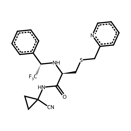 N#CC1(NC(=O)[C@H](CSCc2ccccn2)N[C@@H](c2ccccc2)C(F)(F)F)CC1